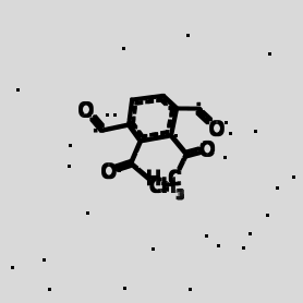 CC(=O)c1c([C]=O)ccc([C]=O)c1C(C)=O